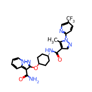 Cc1c(C(=O)N[C@H]2CC[C@H](Oc3nn4ccccc4c3C(N)=O)CC2)cnn1-c1ccc(C(F)(F)F)cn1